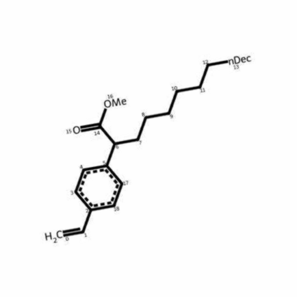 C=Cc1ccc(C(CCCCCCCCCCCCCCCC)C(=O)OC)cc1